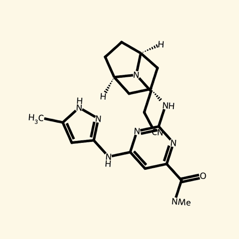 CNC(=O)c1cc(Nc2cc(C)[nH]n2)nc(N[C@@H]2C[C@H]3CC[C@@H](C2)N3CCC#N)n1